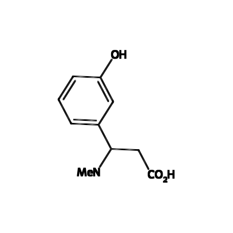 CNC(CC(=O)O)c1cccc(O)c1